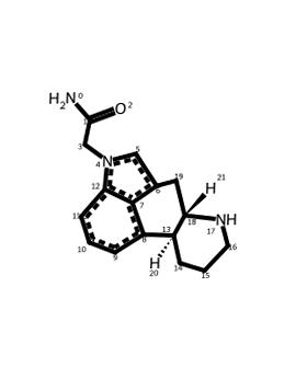 NC(=O)Cn1cc2c3c(cccc31)[C@@H]1CCCN[C@H]1C2